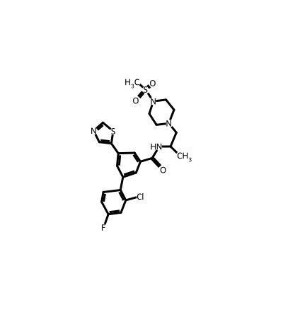 CC(CN1CCN(S(C)(=O)=O)CC1)NC(=O)c1cc(-c2cncs2)cc(-c2ccc(F)cc2Cl)c1